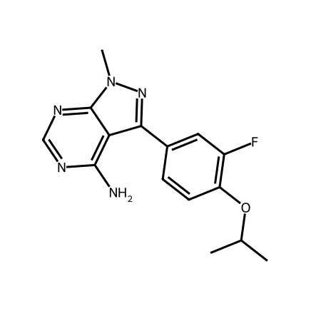 CC(C)Oc1ccc(-c2nn(C)c3ncnc(N)c23)cc1F